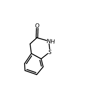 O=C1Cc2ccccc2SN1